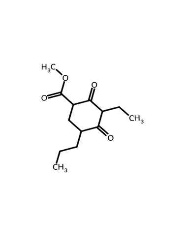 CCCC1CC(C(=O)OC)C(=O)C(CC)C1=O